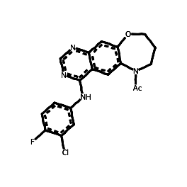 CC(=O)N1CCCOc2cc3ncnc(Nc4ccc(F)c(Cl)c4)c3cc21